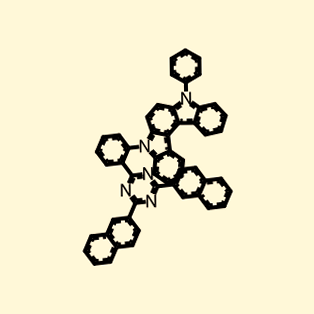 c1ccc(-n2c3ccccc3c3c4c5ccccc5n(-c5ccccc5-c5nc(-c6ccc7ccccc7c6)nc(-c6ccc7ccccc7c6)n5)c4ccc32)cc1